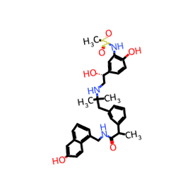 CC(C(=O)NCc1cccc2cc(O)ccc12)c1cccc(CC(C)(C)NC[C@H](O)c2ccc(O)c(NS(C)(=O)=O)c2)c1